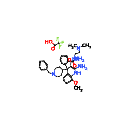 COc1cccc2c1NC(N)=C(C(=O)NCCN(C)C)C2(c1ccccc1C(N)=O)C1CCN(Cc2ccccc2)CC1.O=C(O)C(F)(F)F